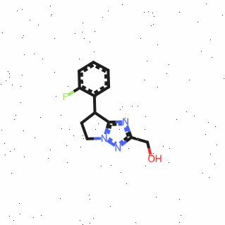 OCc1nc2n(n1)CCC2c1ccccc1F